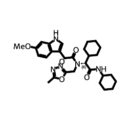 COc1ccc2c(C(=O)C(=O)N(Cc3nnc(C)o3)[C@@H](C(=O)NC3CCCCC3)C3CCCCC3)c[nH]c2c1